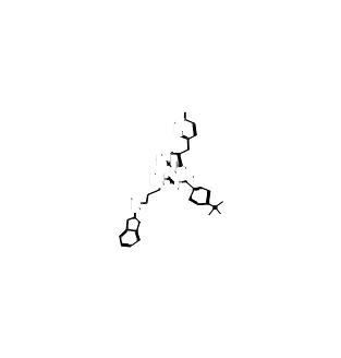 Cc1ccc(Cc2c(=O)[nH]n3c(NCCCNC4Cc5ccccc5C4)nc(-c4ccc(C(C)(C)C)cc4)nc23)cn1